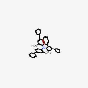 Cc1cc(-c2ccccc2)ccc1N(c1ccc(-c2ccccc2)cc1C)c1ccc(-c2ccccc2)cc1-c1ccccc1